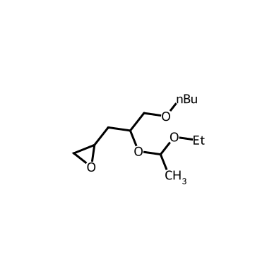 CCCCOCC(CC1CO1)OC(C)OCC